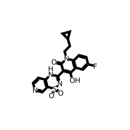 O=c1c(C2=NS(=O)(=O)c3cnccc3N2)c(O)c2cc(F)ccc2n1CCC1CC1